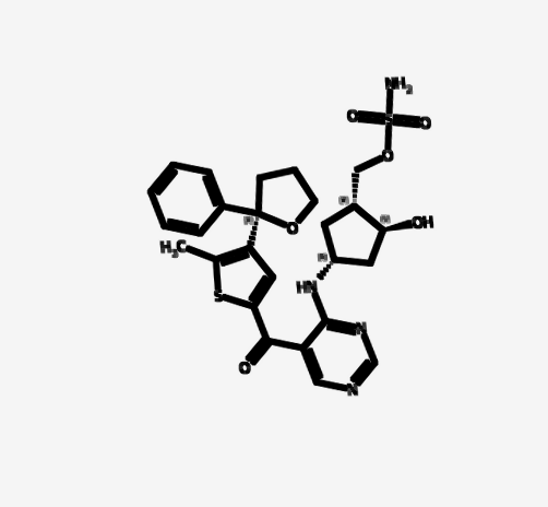 Cc1sc(C(=O)c2cncnc2N[C@@H]2C[C@H](COS(N)(=O)=O)[C@@H](O)C2)cc1[C@]1(c2ccccc2)CCCO1